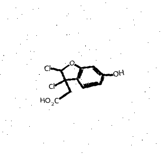 O=C(O)CC1(Cl)c2ccc(O)cc2OC1Cl